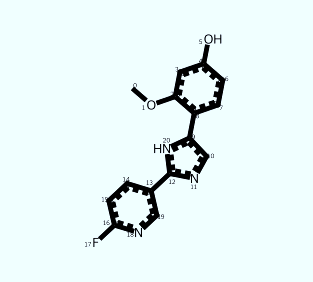 COc1cc(O)ccc1-c1cnc(-c2ccc(F)nc2)[nH]1